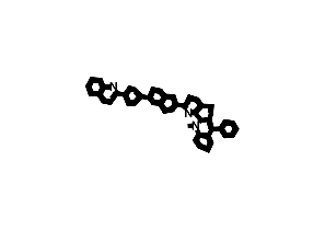 CN1c2ccccc2C(c2ccccc2)=C2C=Cc3ccc(-c4ccc5cc(-c6ccc(-c7ccc8ccccc8n7)cc6)ccc5c4)nc3C21